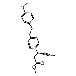 CC#CC(CC(=O)OC)c1ccc(OCc2ccc(OC)cc2)cc1